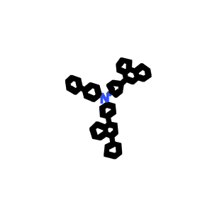 c1ccc(-c2ccc(N(c3ccc(-c4ccc(-c5ccccc5)c5ccccc45)cc3)c3ccc(-c4cc5ccccc5c5ccccc45)cc3)cc2)cc1